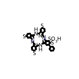 O=S(=O)(O)C1=c2c(c3[nH]/c2=N\C2=C4C=CC(=S)C=C4C(=N2)Nc2[nH]/c(c4c2C=CC(=S)C=4)=N\C2=C4C=CC(=S)C=C4C(=N2)N3)C=C(c2ccccc2)C1=S